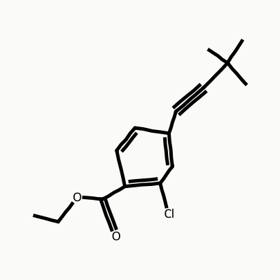 CCOC(=O)c1ccc(C#CC(C)(C)C)cc1Cl